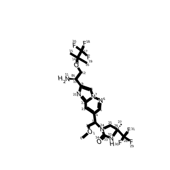 COCC(c1cnn2cc([C@@H](N)COC(C)(C)C(F)(F)F)nc2c1)N1C[C@@](C)(C(F)(F)F)NC1=O